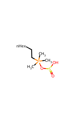 CCCCCCCCP(C)(C)(C)OS(=O)O